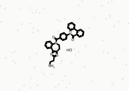 Cl.NCCc1nc2c(s1)CCN(C(=O)c1ccc(NC(=O)c3ccccc3-c3ccccc3)cc1)c1ccccc1-2